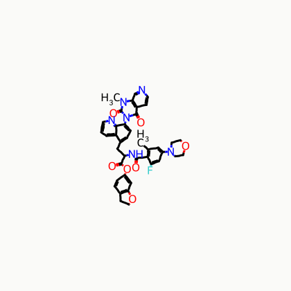 Cc1cc(N2CCOCC2)cc(F)c1C(=O)NC(Cc1ccc(-n2c(=O)c3ccncc3n(C)c2=O)c2ncccc12)C(=O)Oc1ccc2c(c1)OCC2